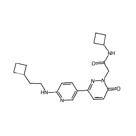 O=C(Cn1nc(-c2ccc(NCCC3CCC3)nc2)ccc1=O)NC1CCC1